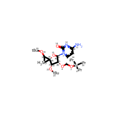 CC(C)[Si](OCO[C@H]1[C@H](n2ccc(N)nc2=O)O[C@@]2([SiH2]C2OC(C)(C)C)[C@H]1OC(C)(C)C)(C(C)C)C(C)C